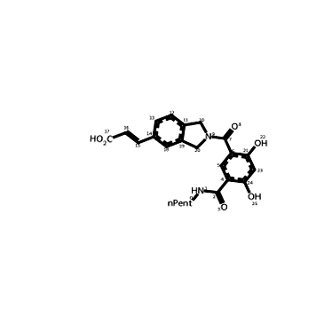 CCCCCNC(=O)c1cc(C(=O)N2Cc3ccc(C=CC(=O)O)cc3C2)c(O)cc1O